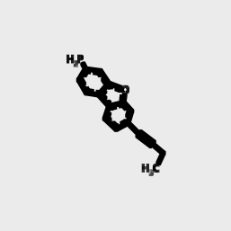 CCC#Cc1ccc2c(c1)oc1cc(P)ccc12